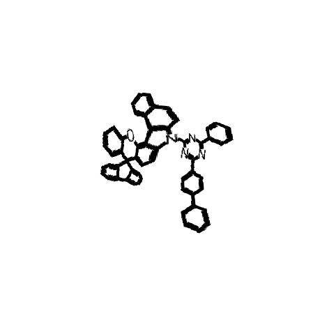 c1ccc(-c2ccc(-c3nc(-c4ccccc4)nc(-n4c5ccc6c(c5c5c7ccccc7ccc54)Oc4ccccc4C64c5ccccc5-c5ccccc54)n3)cc2)cc1